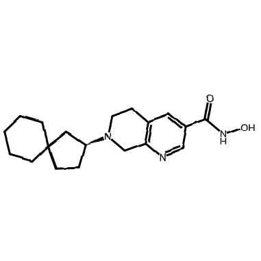 O=C(NO)c1cnc2c(c1)CCN([C@H]1CCC3(CCCCC3)C1)C2